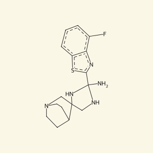 NC1(c2nc3c(F)cccc3s2)NCC2(CN3CCC2CC3)N1